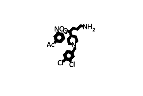 CC(=O)c1ccc(OC(CCCN)C2CCN(Cc3ccc(Cl)c(Cl)c3)CC2)c([N+](=O)[O-])c1